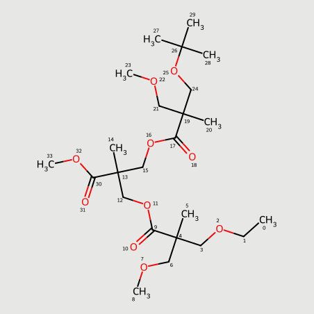 CCOCC(C)(COC)C(=O)OCC(C)(COC(=O)C(C)(COC)COC(C)(C)C)C(=O)OC